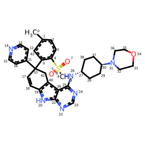 Cc1ccc(S(C)(=O)=O)c(C2(c3ccncc3)C=Cc3[nH]c4ncnc(N[C@H]5CC[C@H](N6CCOCC6)CC5)c4c3C2)c1